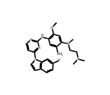 COc1cc(N(C)CCN(C)C)c(N)cc1Nc1nccc(-n2ccc3ccc(F)cc32)n1